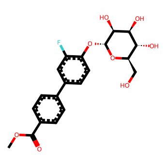 COC(=O)c1ccc(-c2ccc(O[C@H]3O[C@H](CO)[C@@H](O)[C@H](O)[C@@H]3O)c(F)c2)cc1